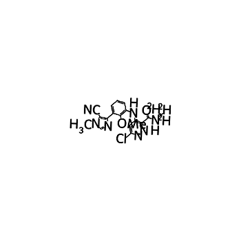 [2H]C([2H])([2H])NC(=O)c1nnc(Cl)cc1Nc1cccc(-c2ncn(C)c2C#N)c1OC